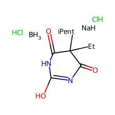 B.CCCC(C)C1(CC)C(=O)N=C(O)NC1=O.Cl.Cl.[NaH]